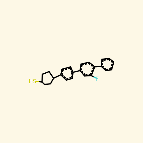 Fc1cc(-c2ccc(C3CCC(S)CC3)cc2)ccc1-c1ccccc1